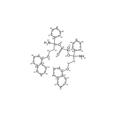 NC(CCOc1cccc2ccccc12)(OC(=O)C(=O)OC(N)(CCOc1cccc2ccccc12)c1ccccc1)c1ccccc1